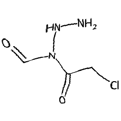 NNN(C=O)C(=O)CCl